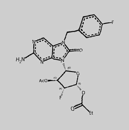 CCC(=O)O[C@H]1O[C@@H](n2c(=O)n(Cc3ccc(F)cc3)c3cnc(N)nc32)[C@H](OC(C)=O)[C@H]1F